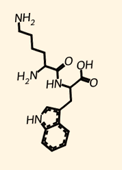 NCCCCC(N)C(=O)NC(Cc1c[nH]c2ccccc12)C(=O)O